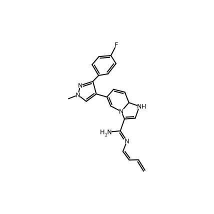 C=C/C=C\N=C(/N)C1=CNC2C=CC(c3cn(C)nc3-c3ccc(F)cc3)=CN12